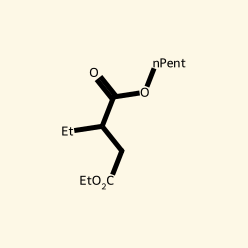 CCCCCOC(=O)C(CC)CC(=O)OCC